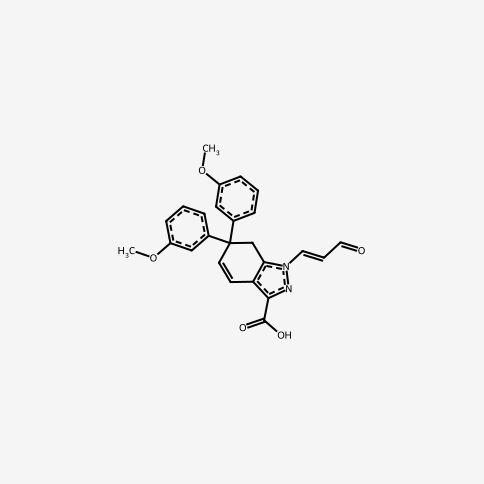 COc1cccc(C2(c3cccc(OC)c3)C=Cc3c(C(=O)O)nn(C=CC=O)c3C2)c1